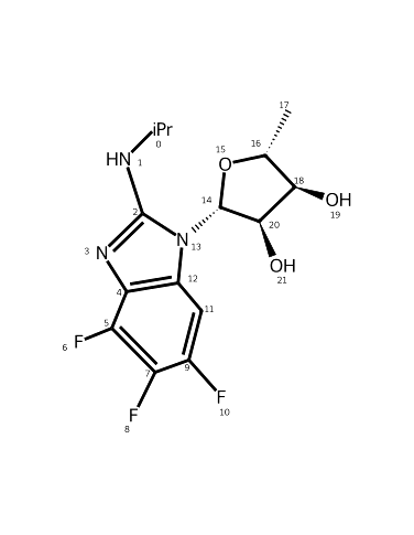 CC(C)Nc1nc2c(F)c(F)c(F)cc2n1[C@@H]1O[C@H](C)[C@@H](O)[C@H]1O